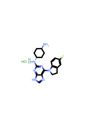 Cl.Cl.N[C@H]1CC[C@H](Nc2nc(N3CCc4cc(F)ccc43)c3nc[nH]c3n2)CC1